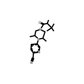 CC1CN(C(=O)C(C)C(C)(C)C)CC(C)N1c1ccc(C#N)nc1